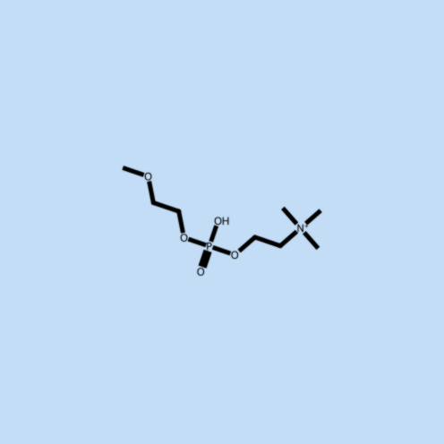 COCCOP(=O)(O)OCC[N+](C)(C)C